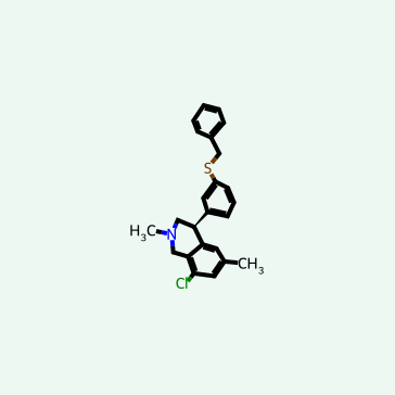 Cc1cc(Cl)c2c(c1)[C@H](c1cccc(SCc3ccccc3)c1)CN(C)C2